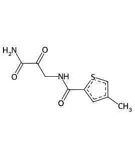 Cc1csc(C(=O)NCC(=O)C(N)=O)c1